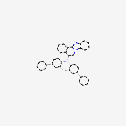 c1ccc(-c2ccc3c(c2)Sc2cc(-c4ccccc4)ccc2N3c2cn3c4ccccc4nc3c3ccccc23)cc1